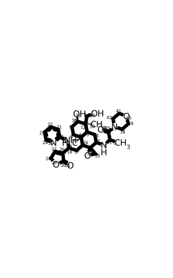 CC(NC1CC2[C@](C)(CC[C@@H](O)[C@@]2(C)CO)C(CC(Nc2ccccn2)C2=CCOC2=O)C12CO2)C(=O)N1CCOCC1